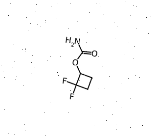 NC(=O)OC1CCC1(F)F